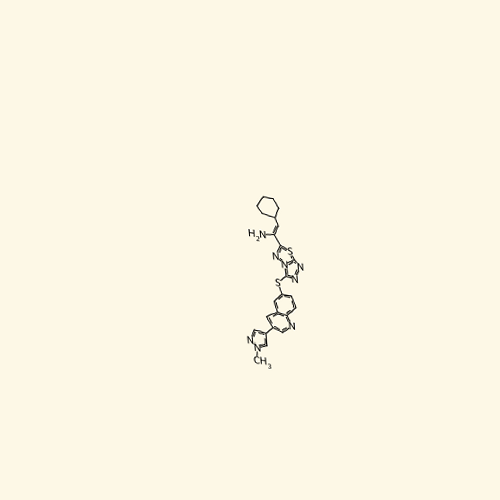 Cn1cc(-c2cnc3ccc(Sc4nnc5sc(/C(N)=C/C6CCCCC6)nn45)cc3c2)cn1